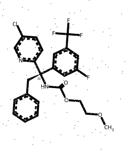 COCCOC(=O)N[C@@](Cc1ccccc1)(c1cc(F)cc(C(F)(F)F)c1)c1ccc(Cl)cn1